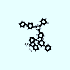 CC1(C)c2ccccc2-c2c(-n3c4ccc(-c5ccccc5)cc4c4ccc(-c5nc(-c6ccccc6)nc(-c6ccc(-c7ccccc7)cc6)n5)cc43)cccc21